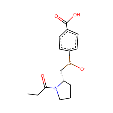 CCC(=O)N1CCC[C@H]1C[S+]([O-])c1ccc(C(=O)O)cc1